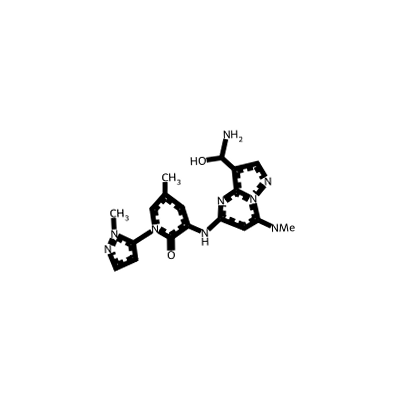 CNc1cc(Nc2cc(C)cn(-c3ccnn3C)c2=O)nc2c(C(N)O)cnn12